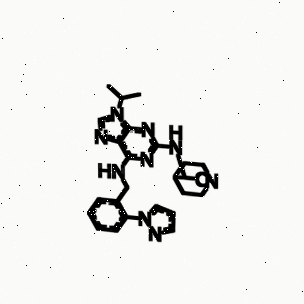 CC(C)n1cnc2c(NCc3ccccc3-n3cccn3)nc(NC3CN4CCC3CC4)nc21